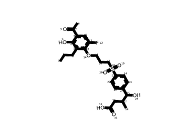 CCCc1c(O)c(C(C)=O)cc(F)c1OCCCS(=O)(=O)c1ccc(C(O)C(C)CC(=O)O)cc1